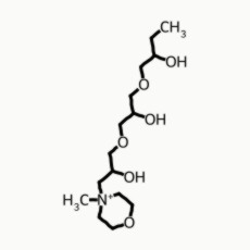 CCC(O)COCC(O)COCC(O)C[N+]1(C)CCOCC1